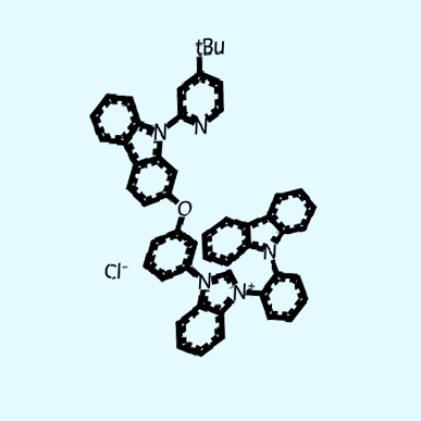 CC(C)(C)c1ccnc(-n2c3ccccc3c3ccc(Oc4cccc(-n5c[n+](-c6ccccc6-n6c7ccccc7c7ccccc76)c6ccccc65)c4)cc32)c1.[Cl-]